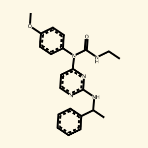 CCNC(=O)N(c1ccc(OC)cc1)c1ccnc(NC(C)c2ccccc2)n1